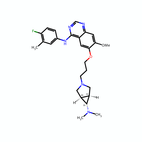 COc1cc2ncnc(Nc3ccc(F)c(C)c3)c2cc1OCCCN1C[C@@H]2[C@H](C1)[C@H]2N(C)C